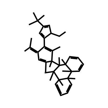 CCC1C=C(C(C)(C)C)C=C1C1=C(C)C2(C)C(=CC1=C(C)C)[C]C1(C)C3(C)C=CC=CC3(C)C3(C)C=CC=CC3(C)C21C